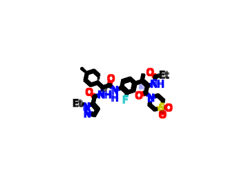 CCC(=O)N/C(C(=O)N1CCS(=O)(=O)CC1)=C(\C)c1ccc(NC(=O)[C@@H](NC(=O)c2ccnn2CC)[C@H]2CC[C@H](C)CC2)c(F)c1